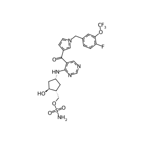 NS(=O)(=O)OC[C@H]1C[C@@H](Nc2ncncc2C(=O)c2ccn(Cc3ccc(F)c(OC(F)(F)F)c3)c2)C[C@@H]1O